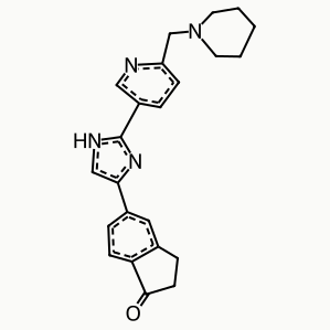 O=C1CCc2cc(-c3c[nH]c(-c4ccc(CN5CCCCC5)nc4)n3)ccc21